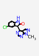 Cn1ncc2c(C3C(=O)Nc4ccc(Cl)cc43)ncnc21